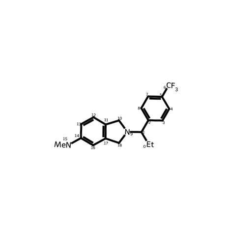 CCC(c1ccc(C(F)(F)F)cc1)N1Cc2ccc(NC)cc2C1